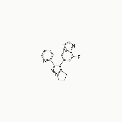 Fc1cc(-c2c(-c3ccccn3)nn3c2CCC3)cn2ccnc12